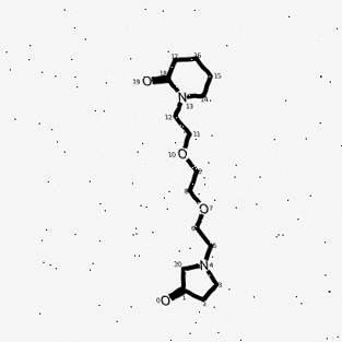 O=C1CCN(CCOCCOCCN2CCCCC2=O)C1